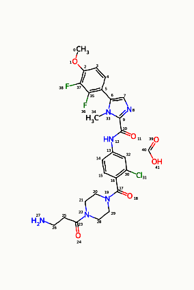 COc1ccc(-c2cnc(C(=O)Nc3ccc(C(=O)N4CCN(C(=O)CCN)CC4)c(Cl)c3)n2C)c(F)c1F.O=CO